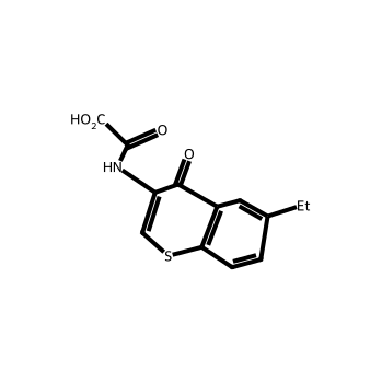 CCc1ccc2scc(NC(=O)C(=O)O)c(=O)c2c1